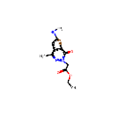 CCOC(=O)Cn1nc(C)c2cc(NC)sc2c1=O